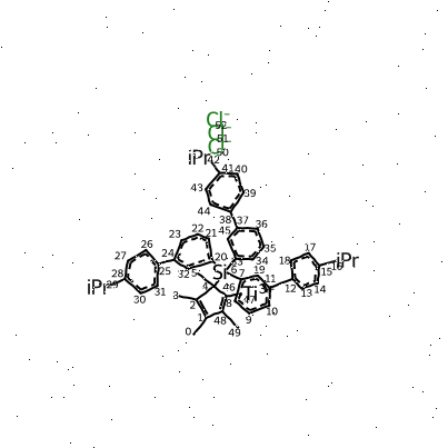 CC1=C(C)C(C)([Si](c2cccc(-c3ccc(C(C)C)cc3)c2)(c2cccc(-c3ccc(C(C)C)cc3)c2)c2cccc(-c3ccc(C(C)C)cc3)c2)[C]([Ti+3])=C1C.[Cl-].[Cl-].[Cl-]